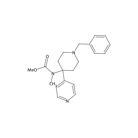 COC(=O)N(C)C1(c2ccncc2)CCN(Cc2ccccc2)CC1